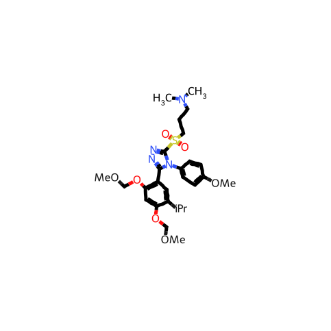 COCOc1cc(OCOC)c(C(C)C)cc1-c1nnc(S(=O)(=O)CCCN(C)C)n1-c1ccc(OC)cc1